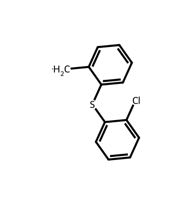 [CH2]c1ccccc1Sc1ccccc1Cl